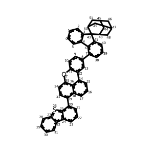 c1ccc2c(c1)-c1c(-c3ccc4c(c3)-c3cccc5c(-c6cccc7c6sc6ccccc67)ccc(c35)O4)cccc1C21C2CC3CC(C2)CC1C3